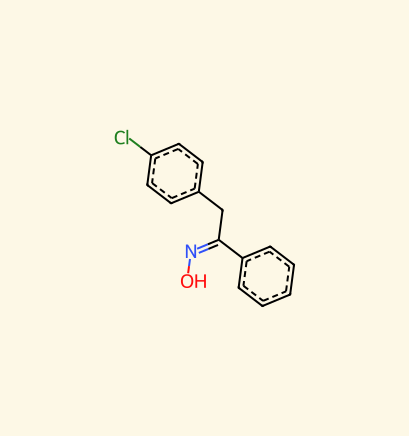 ON=C(Cc1ccc(Cl)cc1)c1ccccc1